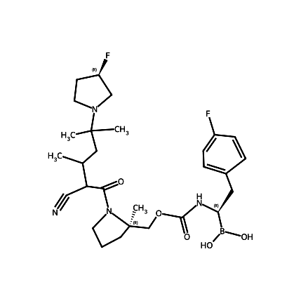 CC(CC(C)(C)N1CC[C@@H](F)C1)C(C#N)C(=O)N1CCC[C@]1(C)COC(=O)N[C@@H](Cc1ccc(F)cc1)B(O)O